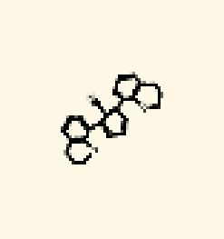 N#Cc1c(-c2cccc3c2OCCC3)cccc1-c1cccc2c1OCCC2